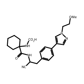 COCCn1cc(-c2ccc(CC(C#N)NC(=O)C3(NC(=O)O)CCCCC3)cc2)cn1